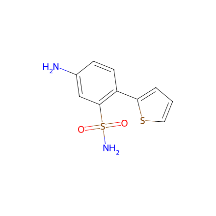 Nc1ccc(-c2cccs2)c(S(N)(=O)=O)c1